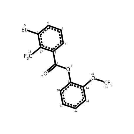 CCc1cccc(C(=O)Oc2ccccc2OC(F)(F)F)c1C(F)(F)F